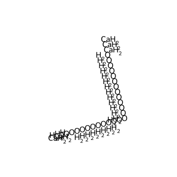 O.O.O.O.O.O.O.O.O.O.O.O.O.O.O.O.O.O.O.O.O.O.O.O.O.[CaH2].[CaH2].[CaH2].[CaH2].[CaH2]